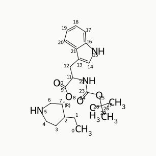 CCC1CCNC[C@@H]1OC(=O)C(Cc1c[nH]c2ccccc12)NC(=O)OC(C)(C)C